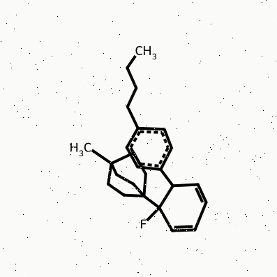 CCCCc1ccc(C2C=CC=CC2(F)C23CCC(C)(CC2)CC3)cc1